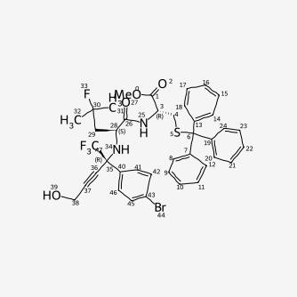 COC(=O)[C@H](CSC(c1ccccc1)(c1ccccc1)c1ccccc1)NC(=O)[C@H](CC(C)(C)F)N[C@@](C#CCO)(c1ccc(Br)cc1)C(F)(F)F